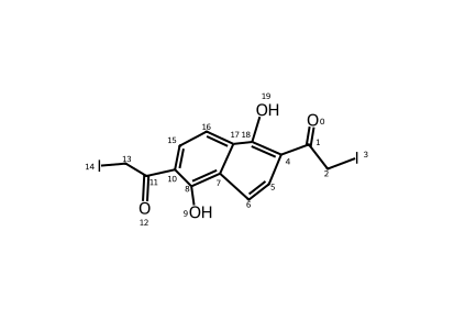 O=C(CI)c1ccc2c(O)c(C(=O)CI)ccc2c1O